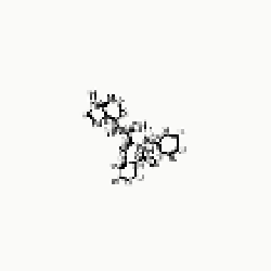 C[C@H](Nc1ncnc2[nH]cnc12)c1nc2ccccc2c(=O)n1Nc1ccccc1